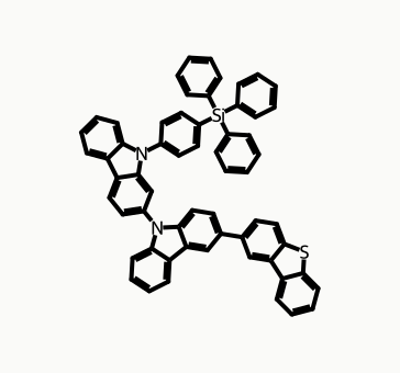 c1ccc([Si](c2ccccc2)(c2ccccc2)c2ccc(-n3c4ccccc4c4ccc(-n5c6ccccc6c6cc(-c7ccc8sc9ccccc9c8c7)ccc65)cc43)cc2)cc1